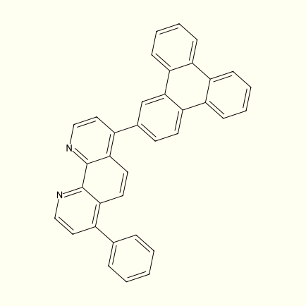 c1ccc(-c2ccnc3c2ccc2c(-c4ccc5c6ccccc6c6ccccc6c5c4)ccnc23)cc1